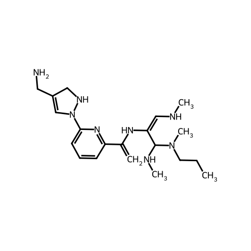 C=C(N/C(=C/NC)C(NC)N(C)CCC)c1cccc(N2C=C(CN)CN2)n1